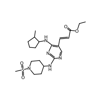 CCOC(=O)/C=C/c1cnc(NC2CCN(S(C)(=O)=O)CC2)nc1NC1CCCC1C